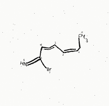 C/C=C\C=C/C(=N)Br